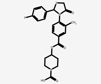 Cc1cc(C(=O)OC2CCN(C(=O)O)CC2)ccc1N1C(=O)CSC1c1ccc(F)cc1